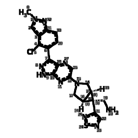 Cn1cc2c(Cl)c(-c3n[nH]c4nc(N5C[C@@H]6[C@H](C5)[C@]6(CN)c5cnsn5)cnc34)ccc2n1